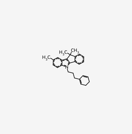 Cc1ccc2c(c1)c1c(n2CCCC2=CCCC=C2)-c2ccccc2C1(C)C